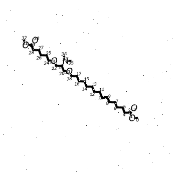 COC(=O)CCCCCC=CCCCCCCCCOCC(COCCCCCC(=O)OC)N(C)C